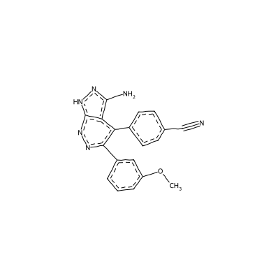 COc1cccc(-c2nnc3[nH]nc(N)c3c2-c2ccc(C#N)cc2)c1